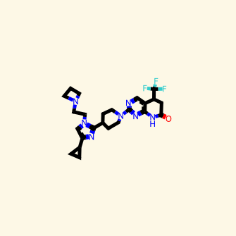 O=C1CC(C(F)(F)F)c2cnc(N3CCC(c4nc(C5CC5)cn4CCN4CCC4)CC3)nc2N1